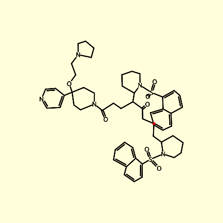 O=C(CCCC1CCCCN1S(=O)(=O)c1cccc2ccccc12)C(CCC(=O)N1CCC(OCCN2CCCC2)(c2ccncc2)CC1)C1CCCCN1S(=O)(=O)c1cccc2ccccc12